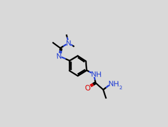 CC(=Nc1ccc(NC(=O)C(C)N)cc1)N(C)C